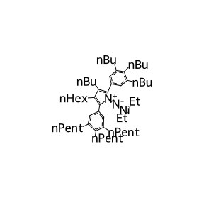 CCCCCCC1=C(c2cc(CCCCC)c(CCCCC)c(CCCCC)c2)[N+](=[N-])C(c2cc(CCCC)c(CCCC)c(CCCC)c2)=C1CCCC.C[CH2][Ni][CH2]C